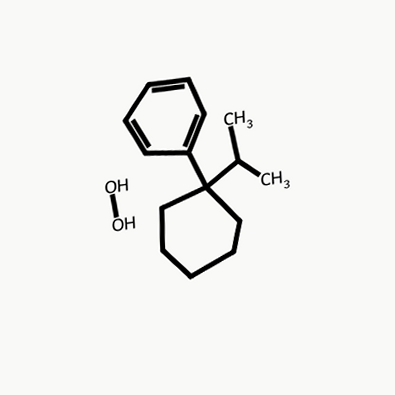 CC(C)C1(c2ccccc2)CCCCC1.OO